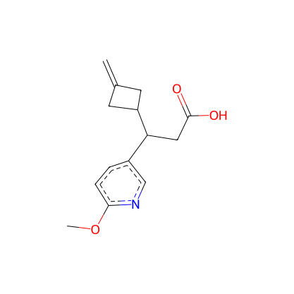 C=C1CC(C(CC(=O)O)c2ccc(OC)nc2)C1